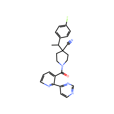 CC(c1ccc(F)cc1)C1(C#N)CCN(C(=O)c2cccnc2-c2ccncn2)CC1